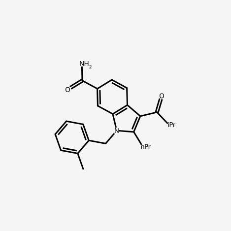 CCCc1c(C(=O)C(C)C)c2ccc(C(N)=O)cc2n1Cc1ccccc1C